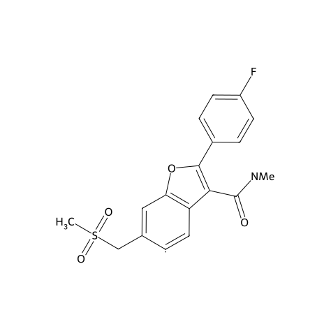 CNC(=O)c1c(-c2ccc(F)cc2)oc2cc(CS(C)(=O)=O)[c]cc12